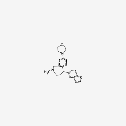 CN1CCC(c2ccc3sccc3c2)c2ccc(N3CCOCC3)cc2C1